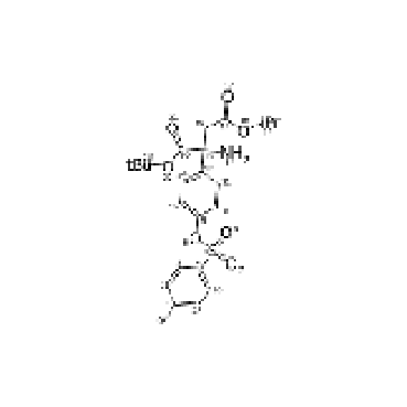 Cc1ccc(S(=O)(=O)Oc2ccc(C(N)(CC(=O)OC(C)C)C(=O)OC(C)(C)C)cc2)cc1